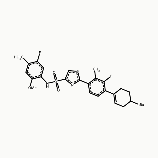 COc1cc(C(=O)O)c(F)cc1NS(=O)(=O)c1csc(-c2ccc(C3=CCC(C(C)(C)C)CC3)c(F)c2C)n1